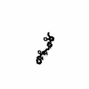 CCc1cccc(N2CCN(CCCCNC(=O)c3cn4ccccc4n3)CC2)c1Cl